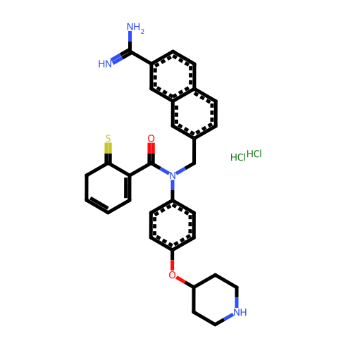 Cl.Cl.N=C(N)c1ccc2ccc(CN(C(=O)C3=CC=CCC3=S)c3ccc(OC4CCNCC4)cc3)cc2c1